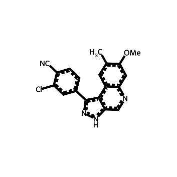 COc1cc2ncc3[nH]nc(-c4ccc(C#N)c(Cl)c4)c3c2cc1C